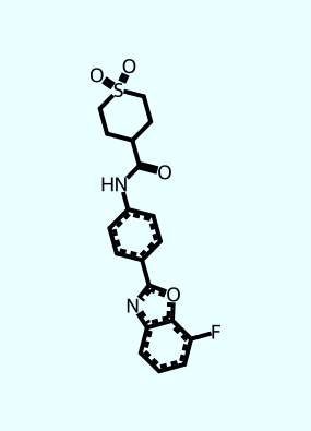 O=C(Nc1ccc(-c2nc3cccc(F)c3o2)cc1)C1CCS(=O)(=O)CC1